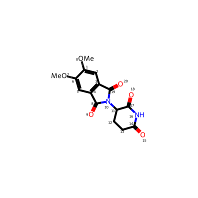 COc1cc2c(cc1OC)C(=O)N(C1CCC(=O)NC1=O)C2=O